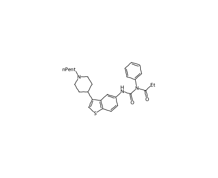 CCCCCN1CCC(c2csc3ccc(NC(=O)N(C(=O)CC)c4ccccc4)cc23)CC1